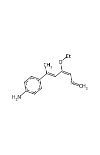 C=N/C=C(\C=C(/C)c1ccc(N)cc1)OCC